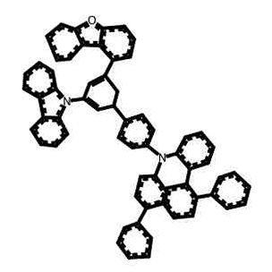 C1=C(c2cccc3oc4ccccc4c23)CC(c2ccc(N(c3ccc(-c4ccccc4)cc3)c3ccccc3-c3ccccc3-c3ccccc3)cc2)C=C1n1c2ccccc2c2ccccc21